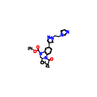 CC(C)OC(=O)N1C[C@H](C)N(C(=O)C2CC2)c2ccc(-c3cnn(CCn4ccnc4)c3)cc21